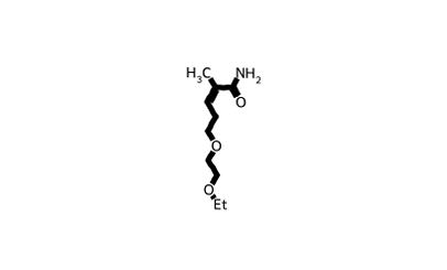 CCOCCOCCC=C(C)C(N)=O